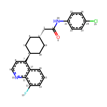 O=C(C[C@H]1CC[C@H](c2ccnc3c(F)cccc32)CC1)Nc1ccc(Cl)cc1